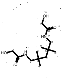 CC(C)(CNC(=O)CO)CC(C)(C)CNC(=O)CO